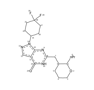 CCCC1OCCCC1Cc1nc2c(cnn2C2CCC(F)(F)CC2)c(=O)[nH]1